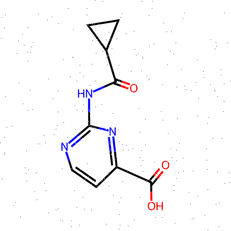 O=C(O)c1ccnc(NC(=O)C2CC2)n1